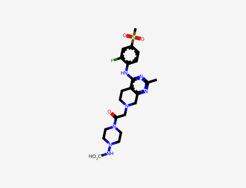 Cc1nc2c(c(Nc3ccc(S(C)(=O)=O)cc3F)n1)CCN(CC(=O)N1CCN(NC(=O)O)CC1)C2